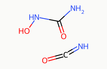 N=C=O.NC(=O)NO